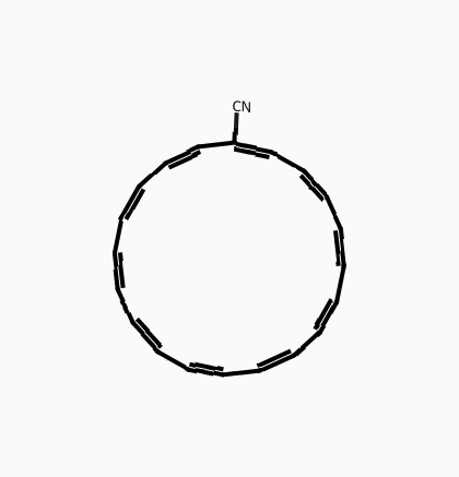 N#CC1=CC=CC=CC=CC=CC=CC=CC=CC=CC=C1